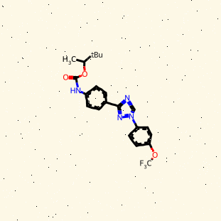 CC(OC(=O)Nc1ccc(-c2ncn(-c3ccc(OC(F)(F)F)cc3)n2)cc1)C(C)(C)C